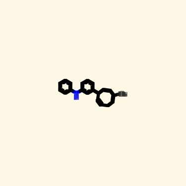 CC(C)(C)C1=C/CC#CC(c2cccc(Nc3ccccc3)c2)/C=C\1